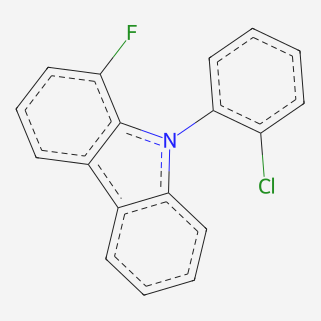 Fc1cccc2c3ccccc3n(-c3ccccc3Cl)c12